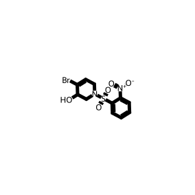 O=[N+]([O-])c1ccccc1S(=O)(=O)N1CC=C(Br)C(O)C1